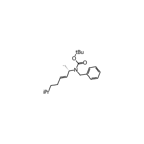 [CH2][C@@H](/C=C/CCC(C)C)N(Cc1ccccc1)C(=O)OC(C)(C)C